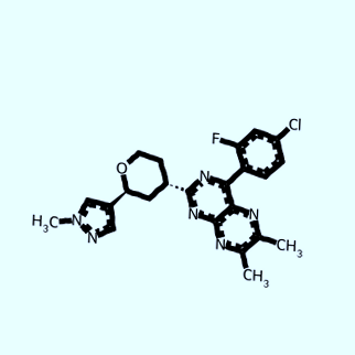 Cc1nc2nc([C@H]3CCO[C@H](c4cnn(C)c4)C3)nc(-c3ccc(Cl)cc3F)c2nc1C